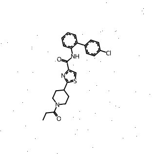 CCC(=O)N1CCC(c2nc(C(=O)Nc3ccccc3-c3ccc(Cl)cc3)cs2)CC1